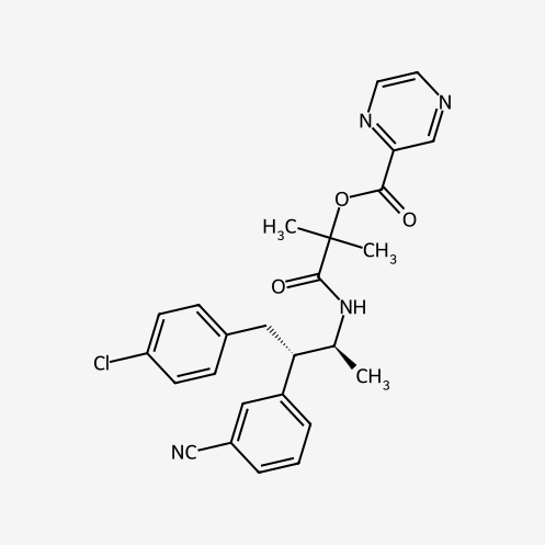 C[C@H](NC(=O)C(C)(C)OC(=O)c1cnccn1)[C@@H](Cc1ccc(Cl)cc1)c1cccc(C#N)c1